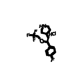 Cl.Fc1ccc([C@H](CC2CCNCC2)OCC(F)(F)F)cc1